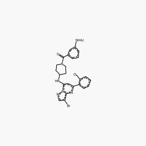 CC(=O)Nc1cccc(C(=O)N2CCC(Nc3cc(-c4ccccc4Cl)nc4c(Br)cnn34)CC2)c1